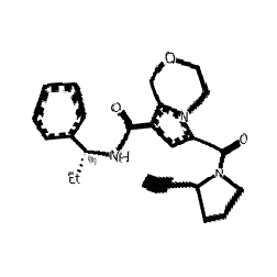 C#CC1CCCN1C(=O)c1cc(C(=O)N[C@H](CC)c2ccccc2)c2n1CCOC2